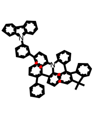 CC1(C)c2ccccc2-c2c(-c3ccccc3N(c3ccc(-c4cccc(-n5c6ccccc6c6ccccc65)c4)cc3)c3ccccc3-c3ccccc3-c3ccccc3)cccc21